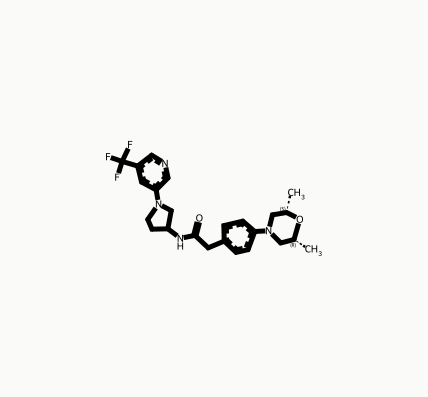 C[C@@H]1CN(c2ccc(CC(=O)NC3CCN(c4cncc(C(F)(F)F)c4)C3)cc2)C[C@H](C)O1